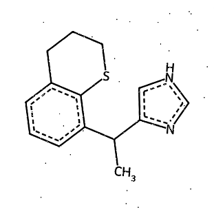 CC(c1c[nH]cn1)c1cccc2c1SCCC2